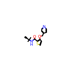 C#CC(C)(C)NC(=O)c1sccc1OCc1ccncc1